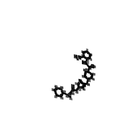 Nc1ccccc1NC(=O)c1ccc(Cn2cc(CNC3CC3c3ccccc3)cn2)cc1